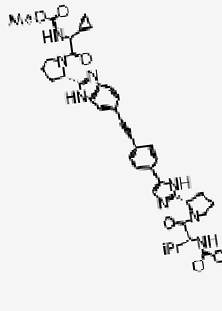 COC(=O)N[C@H](C(=O)N1CCC[C@H]1c1ncc(-c2ccc(C#Cc3ccc4nc([C@@H]5CCCN5C(=O)[C@@H](NC(=O)OC)C5CC5)[nH]c4c3)cc2)[nH]1)C(C)C